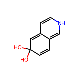 OC1(O)C=CC2=CNC=CC2=C1